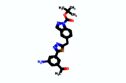 CC(=O)c1cc(N)cc(-c2nnc(Cc3ccc4c(cnn4C(=O)OC(C)(C)C)c3)s2)c1